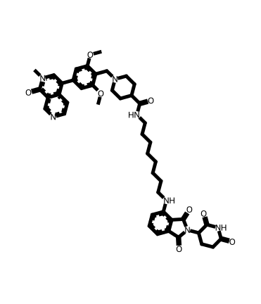 COc1cc(-c2cn(C)c(=O)c3cnccc23)cc(OC)c1CN1CCC(C(=O)NCCCCCCCCNc2cccc3c2C(=O)N(C2CCC(=O)NC2=O)C3=O)CC1